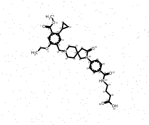 CCOc1cc(C(=O)OC)c(C2CC2)cc1CN1CCC2(CC1)CC(=O)N(c1ccc(C(=O)NCCCC(=O)O)cc1)C2